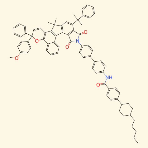 CCCCCC1CCC(c2ccc(C(=O)Nc3ccc(-c4ccc(N5C(=O)c6c(C(C)(C)c7ccccc7)cc7c(c6C5=O)-c5c(c6c(c8ccccc58)OC(c5ccccc5)(c5ccc(OC)cc5)C=C6)C7(C)C)cc4)cc3)cc2)CC1